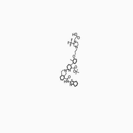 Cc1c(OCCCN2CCN(CC(=O)O)[C@H](C(F)(F)F)C2)cccc1-c1ccc(N2CCc3cccc(C(=O)Nc4nc5ccccc5s4)c3C2)nc1C(=O)OC(C)(C)C